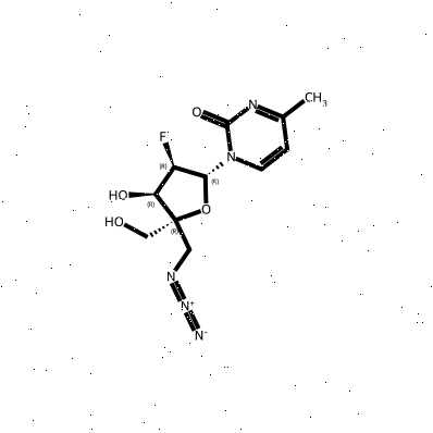 Cc1ccn([C@@H]2O[C@@](CO)(CN=[N+]=[N-])[C@@H](O)[C@H]2F)c(=O)n1